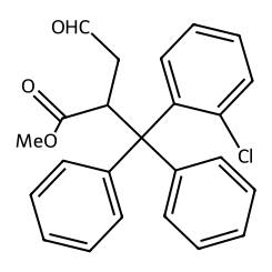 COC(=O)C(CC=O)C(c1ccccc1)(c1ccccc1)c1ccccc1Cl